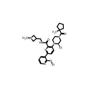 CCOc1ncccc1-c1ccc(N2CCN(C(=O)C3(C(F)(F)F)CCCC3)C[C@H]2CC)c(C(=O)NCC2CN(C)C2)n1